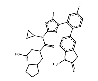 CN1C(=O)Cc2cc(-c3ccc(Cl)cc3-c3nc(N(C(=O)C(CC(=O)O)CC4CCCC4)C4CC4)sc3F)cnc21